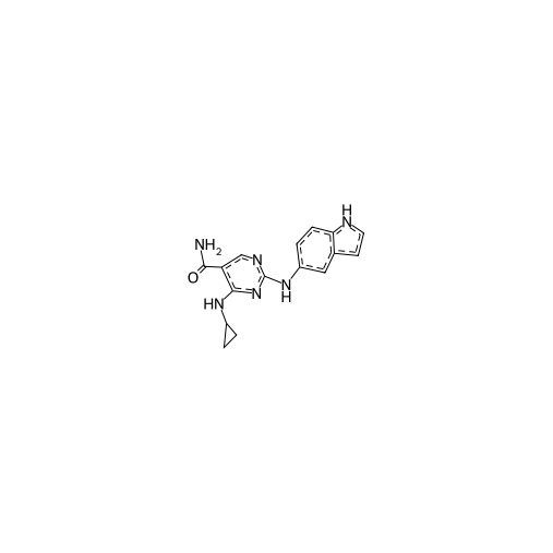 NC(=O)c1cnc(Nc2ccc3[nH]ccc3c2)nc1NC1CC1